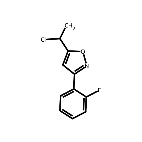 CC(Cl)c1cc(-c2ccccc2F)no1